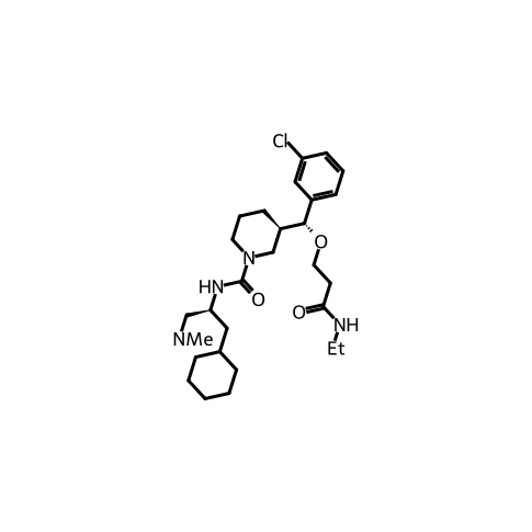 CCNC(=O)CCO[C@@H](c1cccc(Cl)c1)[C@@H]1CCCN(C(=O)N[C@H](CNC)CC2CCCCC2)C1